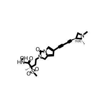 C[C@@H]1[C@@H](C#CC#Cc2cc3n(c2)C(=O)N(CC[C@](C)(C(=O)NO)S(C)(=O)=O)C3)CN1C